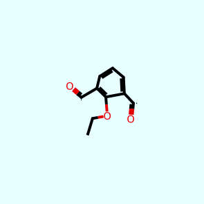 CCOc1c([C]=O)cccc1[C]=O